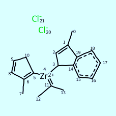 CC1=C[CH]([Zr+2]([C]2=C(C)C=CC2)=[C](C)C)c2ccccc21.[Cl-].[Cl-]